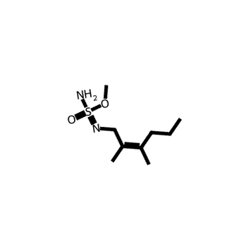 CCC/C(C)=C(/C)CN=S(N)(=O)OC